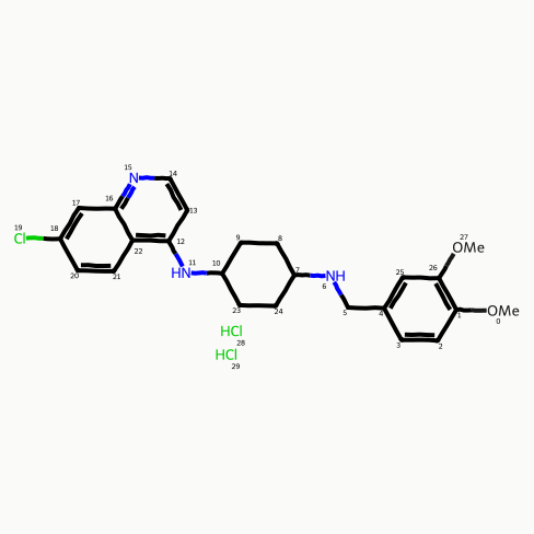 COc1ccc(CNC2CCC(Nc3ccnc4cc(Cl)ccc34)CC2)cc1OC.Cl.Cl